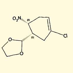 O=[N+]([O-])[C@@H]1CC=C(Cl)C[C@@H]1C1OCCO1